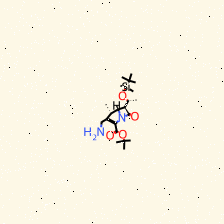 C[C@@H](O[Si](C)(C)C(C)(C)C)[C@H]1C(=O)N2C(C(=O)OC(C)(C)C)=C(CN)[C@H](C)[C@H]12